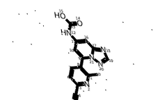 Cc1nc(C#N)ccc1-c1cc(NC(=O)O)cc2ncnn12